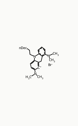 CCCCCCCCCCCCN1C2=CC=C(N(C)C)[C+]=C2Cc2c(N(C)C)cccc21.[Br-]